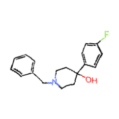 OC1(c2ccc(F)cc2)CCN(Cc2ccccc2)CC1